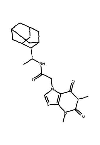 CC(NC(=O)Cn1cnc2c1c(=O)n(C)c(=O)n2C)C1C2CC3CC(C2)CC1C3